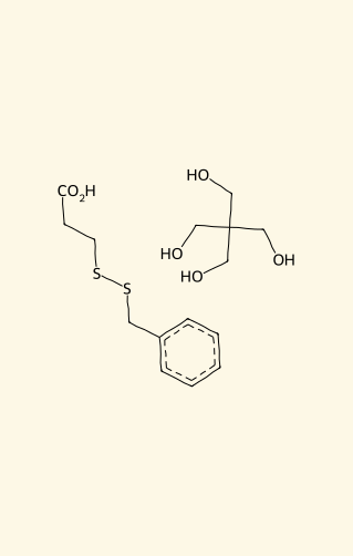 O=C(O)CCSSCc1ccccc1.OCC(CO)(CO)CO